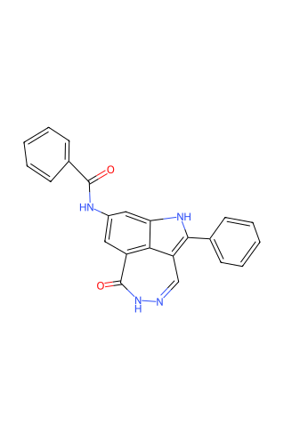 O=C(Nc1cc2c3c(c(-c4ccccc4)[nH]c3c1)C=NNC2=O)c1ccccc1